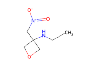 CCNC1(C[N+](=O)[O-])COC1